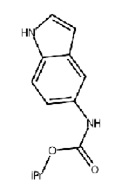 CC(C)OC(=O)Nc1ccc2[nH]ccc2c1